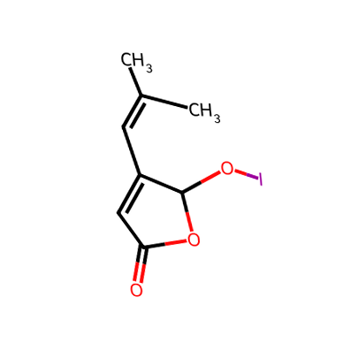 CC(C)=CC1=CC(=O)OC1OI